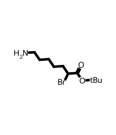 CC(C)(C)OC(=O)C(Br)CCCCCN